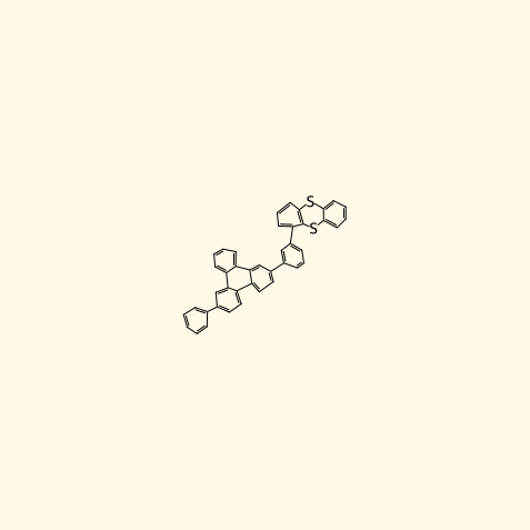 c1ccc(-c2ccc3c4ccc(-c5cccc(-c6cccc7c6Sc6ccccc6S7)c5)cc4c4ccccc4c3c2)cc1